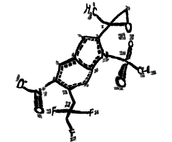 CC1(c2cc3cc([N+](=O)[O-])c(C(F)(F)F)cc3n2S(C)(=O)=O)CO1